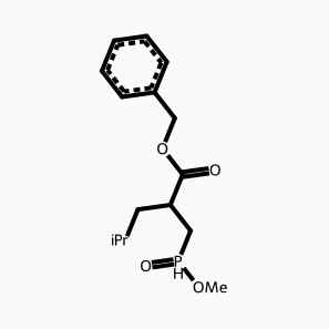 CO[PH](=O)CC(CC(C)C)C(=O)OCc1ccccc1